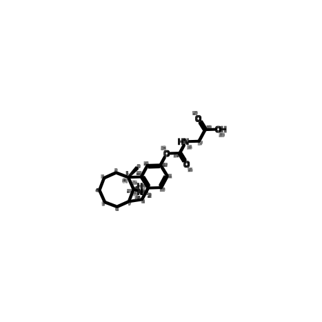 C[C@@]12CCCCCC(Cc3ccc(OC(=O)NCC(=O)O)cc31)[C@@H]2N